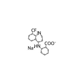 O=C([O-])c1ccccc1Nc1ccnc2c(C(F)(F)F)cccc12.[Na+]